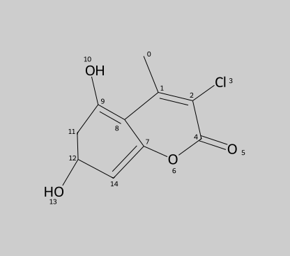 Cc1c(Cl)c(=O)oc2c1=C(O)CC(O)C=2